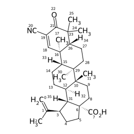 C=C(C)[C@@H]1CC[C@]2(C(=O)O)CC[C@]3(C)[C@H](CC[C@@H]4[C@@]5(C)C=C(C#N)C(=O)C(C)(C)[C@@H]5CC[C@]43C)[C@@H]12